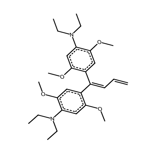 C=CC=C(c1cc(OC)c(N(CC)CC)cc1OC)c1cc(OC)c(N(CC)CC)cc1OC